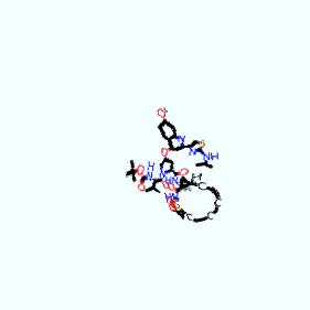 COc1ccc2c(O[C@@H]3C[C@@H](C(=O)N[C@]45C[C@H]4CCCCCCCCCC4(CC4)S(=O)(=O)NC5=O)N(C(=O)[C@@H](NC(=O)OC(C)(C)C)C(C)C)C3)cc(-c3csc(NC(C)C)n3)nc2c1